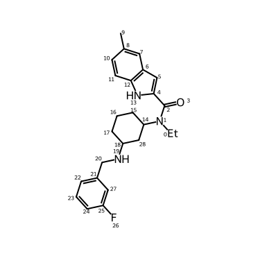 CCN(C(=O)c1cc2cc(C)ccc2[nH]1)C1CCCC(NCc2cccc(F)c2)C1